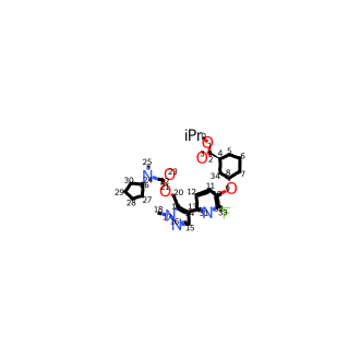 CC(C)OC(=O)[C@H]1CCC[C@H](Oc2ccc(-c3cnn(C)c3COC(=O)N(C)C3CCCC3)nc2F)C1